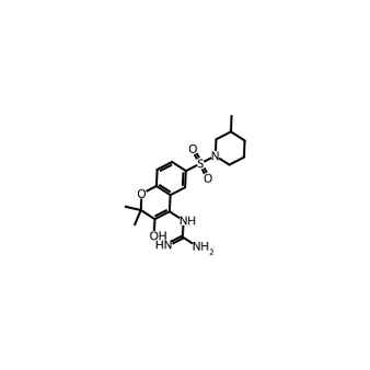 CC1CCCN(S(=O)(=O)c2ccc3c(c2)C(NC(=N)N)=C(O)C(C)(C)O3)C1